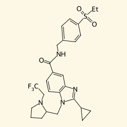 CCS(=O)(=O)c1ccc(CNC(=O)c2ccc3c(c2)nc(C2CC2)n3CC2CCCN2CC(F)(F)F)cc1